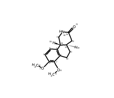 COc1ccc2c(c1OC)CC[C@@H]1CC(=O)NC[C@@H]21